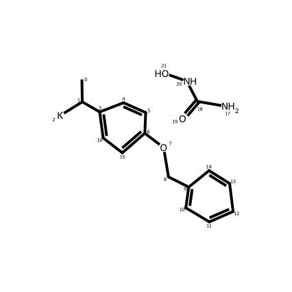 C[CH]([K])c1ccc(OCc2ccccc2)cc1.NC(=O)NO